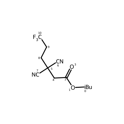 CCC(C)OC(=O)CC(C#N)(C#N)CCC(F)(F)F